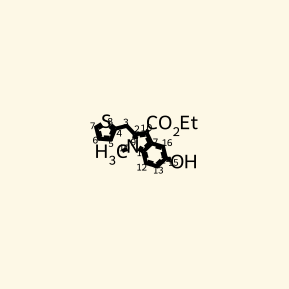 CCOC(=O)c1c(Cc2cccs2)n(C)c2ccc(O)cc12